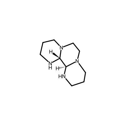 C1CN[C@H]2[C@@H]3NCCCN3CCN2C1